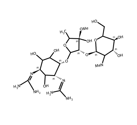 CNC1[C@@H](O[C@@H]2C(O[C@H]3C(O)C(O)[C@H](N=C(N)N)C(O)[C@H]3N=C(N)N)OC(C)[C@@]2(O)OC)OC(CO)[C@@H](O)[C@@H]1O